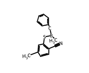 CB(Cc1ccccc1)Sc1cc(C)ccc1C#N